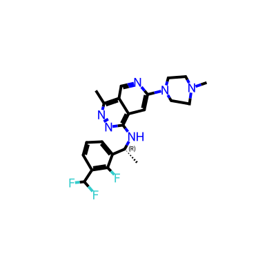 Cc1nnc(N[C@H](C)c2cccc(C(F)F)c2F)c2cc(N3CCN(C)CC3)ncc12